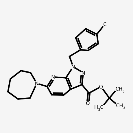 CC(C)(C)OC(=O)c1nn(Cc2ccc(Cl)cc2)c2nc(N3CCCCCC3)ccc12